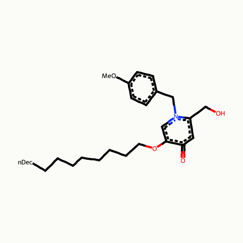 CCCCCCCCCCCCCCCCCCOc1cn(Cc2ccc(OC)cc2)c(CO)cc1=O